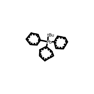 C[C](C)(C)[Pb]([c]1ccccc1)([c]1ccccc1)[c]1ccccc1